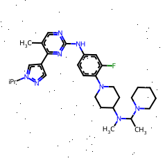 Cc1cnc(Nc2ccc(N3CCC(N(C)C(C)N4CCCCC4)CC3)c(F)c2)nc1-c1cnn(C(C)C)c1